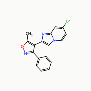 Cc1onc(-c2ccccc2)c1-c1cn2ccc(Br)cc2n1